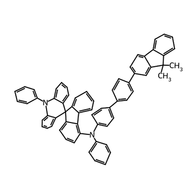 CC1(C)c2ccccc2-c2ccc(-c3ccc(-c4ccc(N(c5ccccc5)c5cccc6c5-c5ccccc5C65c6ccccc6N(c6ccccc6)c6ccccc65)cc4)cc3)cc21